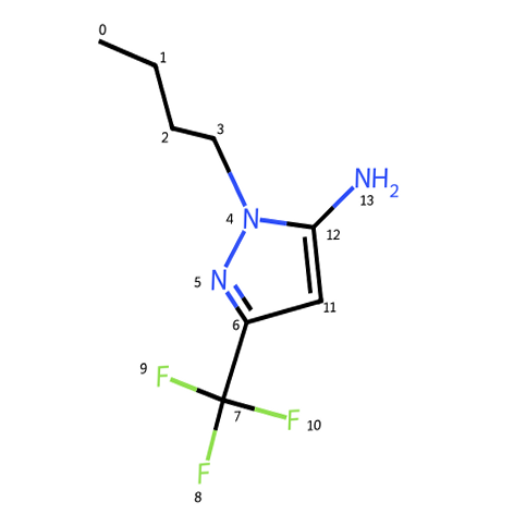 CCCCn1nc(C(F)(F)F)cc1N